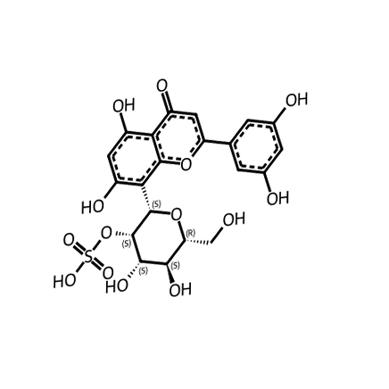 O=c1cc(-c2cc(O)cc(O)c2)oc2c([C@@H]3O[C@H](CO)[C@@H](O)[C@H](O)[C@@H]3OS(=O)(=O)O)c(O)cc(O)c12